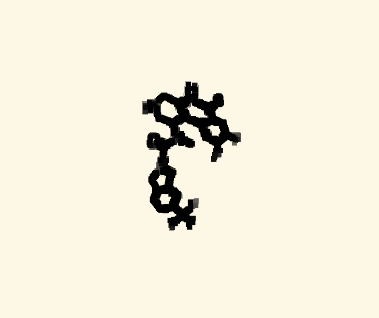 CN(C(=O)N1Cc2ccc(C(F)(F)F)cc2C1)C1CNCc2[nH]c(=O)c3cc(F)c(F)cc3c21